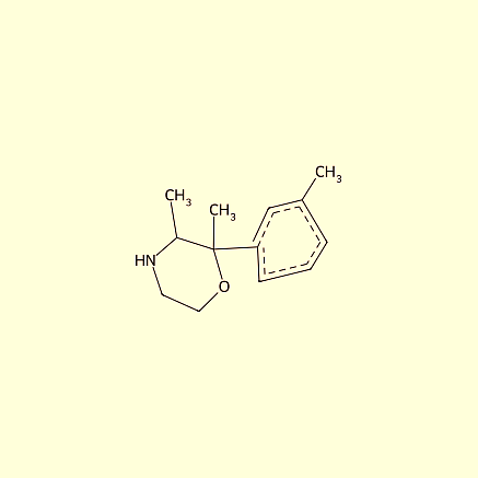 Cc1cccc(C2(C)OCCNC2C)c1